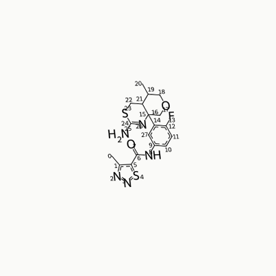 Cc1nnsc1C(=O)Nc1ccc(F)c(C23COCC(C)C2CSC(N)=N3)c1